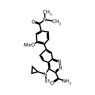 CCN(c1c(C(N)=O)nnc2cc(-c3ccc(C(=O)N(C)C)cc3OC)ccc12)C1CC1